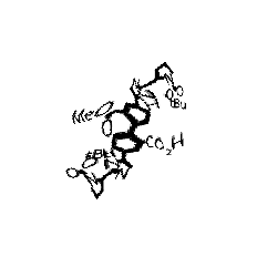 COC(=O)c1cc(-c2cnc(C3CCCN3C(=O)OC(C)(C)C)[nH]2)ccc1-c1ccc(-c2cnc(C3CCCN3C(=O)OC(C)(C)C)[nH]2)cc1C(=O)O